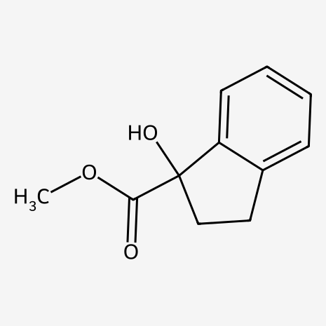 COC(=O)C1(O)CCc2ccccc21